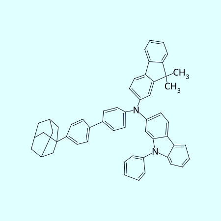 CC1(C)c2ccccc2-c2ccc(N(c3ccc(-c4ccc(C56CC7CC(CC(C7)C5)C6)cc4)cc3)c3ccc4c5ccccc5n(-c5ccccc5)c4c3)cc21